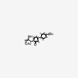 CC(=O)O/N=C(/N)Cn1ccc(-c2ccc(C(C)(C)C)cc2)cc1=O